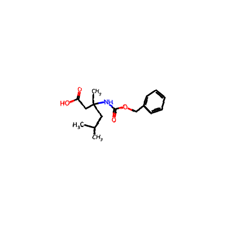 CC(C)CC(C)(CC(=O)O)NC(=O)OCc1ccccc1